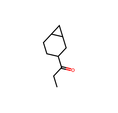 CCC(=O)C1CCC2CC2C1